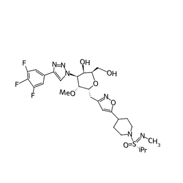 CN=[S@](=O)(C(C)C)N1CCC(c2cc(C[C@H]3O[C@H](CO)[C@H](O)[C@H](n4cc(-c5cc(F)c(F)c(F)c5)nn4)[C@H]3OC)no2)CC1